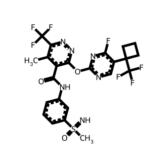 Cc1c(C(F)(F)F)nnc(Oc2ncc(C3(C(F)(F)F)CCC3)c(F)n2)c1C(=O)Nc1cccc(S(C)(=N)=O)c1